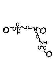 O=C(NCCOCCN(CCOCCNC(=O)OCc1ccccc1)Cc1ccccc1)OCc1ccccc1